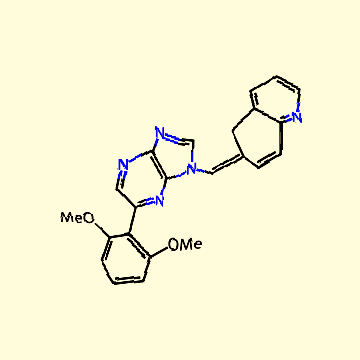 COc1cccc(OC)c1-c1cnc2ncn(C=C3C=Cc4ncccc4C3)c2n1